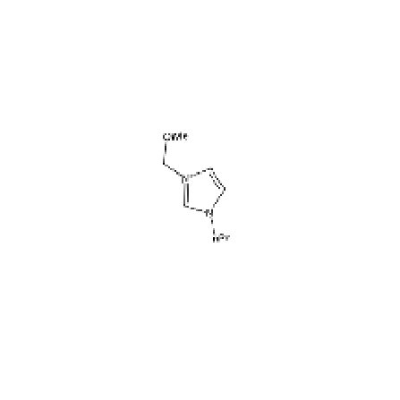 CCCn1cc[n+](COC)c1